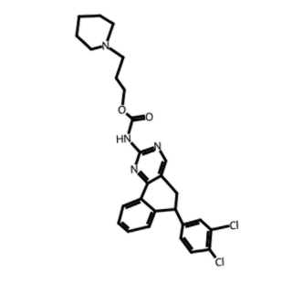 O=C(Nc1ncc2c(n1)-c1ccccc1C(c1ccc(Cl)c(Cl)c1)C2)OCCCN1CCCCC1